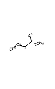 CCOC[C@@H](C)O